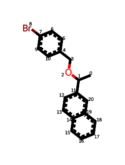 CC(OCc1ccc(Br)cc1)c1ccc2ccccc2c1